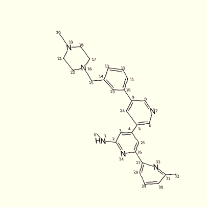 CNc1cc(-c2cncc(-c3cccc(CN4CCN(C)CC4)c3)c2)cc(-c2cccc(C)n2)n1